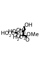 C=C(C(=O)OC)C(CCO)C(=O)O.C=C(C)C(=O)O